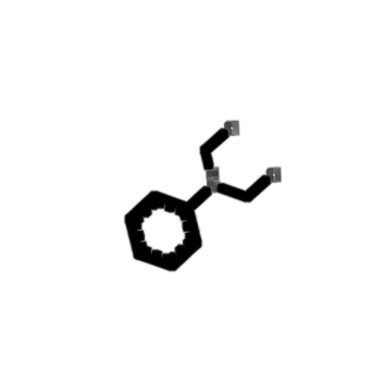 ClC[SiH](CCl)c1ccccc1